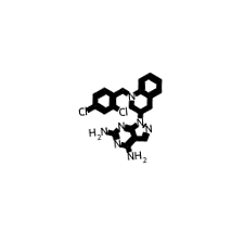 Nc1nc(N)c2cnn(C3Cc4ccccc4N(Cc4ccc(Cl)cc4Cl)C3)c2n1